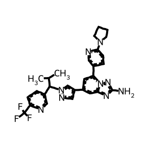 CC(C)C(c1ccc(C(F)(F)F)nc1)n1cc(-c2cc(-c3ccc(N4CCCC4)nc3)n3nc(N)nc3c2)cn1